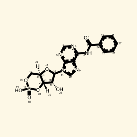 O=C(Nc1ncnc2c1ncn2C1O[C@@H]2COP(=O)(O)O[C@H]2[C@H]1O)c1ccccc1